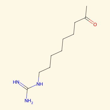 CC(=O)CCCCCCCNC(=N)N